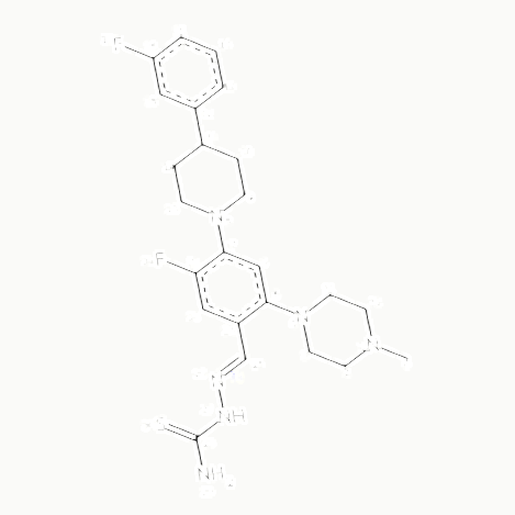 CN1CCN(c2cc(N3CCC(c4cccc(F)c4)CC3)c(F)cc2/C=N/NC(N)=S)CC1